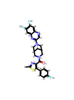 Cc1nc(C(=O)N2CC3CC(C2)CN(c2cnc4cc(F)c(F)cc4n2)C3)c(-c2ccc(F)cc2)s1